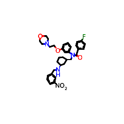 O=C(c1ccc(F)cc1)N(C[C@@H]1CCC[C@H](NCc2cccc([N+](=O)[O-])c2)C1)c1cccc(OCCN2CCOCC2)c1